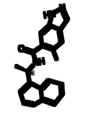 Cc1cc2cn[nH]c2cc1C(=O)N[C@H](C)c1cccc2ccccc12